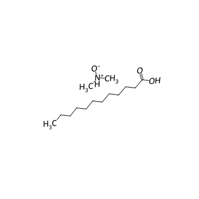 CCCCCCCCCCCC(=O)O.C[NH+](C)[O-]